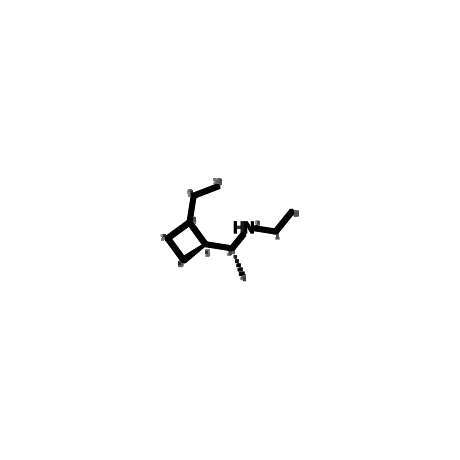 CCN[C@H](C)[C@H]1CCC1CC